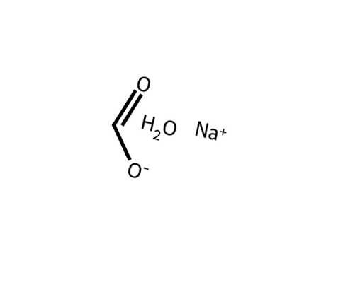 O.O=C[O-].[Na+]